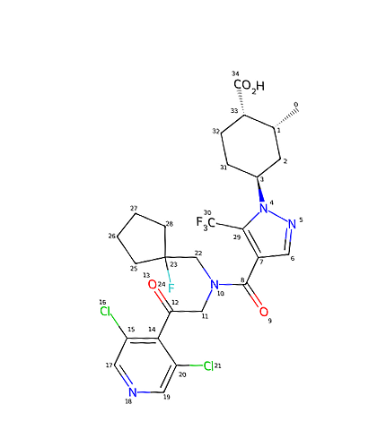 C[C@@H]1C[C@@H](n2ncc(C(=O)N(CC(=O)c3c(Cl)cncc3Cl)CC3(F)CCCC3)c2C(F)(F)F)CC[C@@H]1C(=O)O